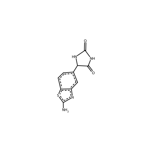 Nc1nc2cc(C3NC(=O)NC3=O)ccc2s1